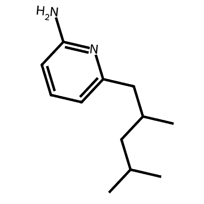 CC(C)CC(C)Cc1cccc(N)n1